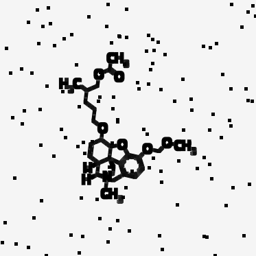 COCOc1ccc2c3c1OC1C(OCCCC(C)COC(C)=O)C=C[C@H]4[C@@H](C2)N(C)CC[C@]314